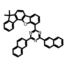 CC1(C)c2ccccc2-c2c1ccc1c2oc2c(-c3nc(-c4ccc5ccccc5c4)nc(-c4ccc5ccccc5c4)n3)cccc21